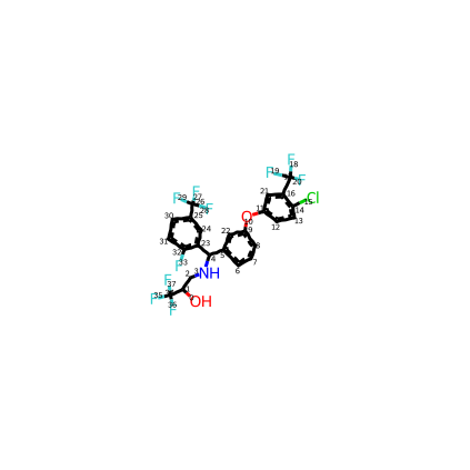 OC(CNC(c1cccc(Oc2ccc(Cl)c(C(F)(F)F)c2)c1)c1cc(C(F)(F)F)ccc1F)C(F)(F)F